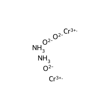 N.N.[Cr+3].[Cr+3].[O-2].[O-2].[O-2]